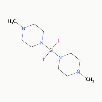 CN1CCN([Si](I)(I)N2CCN(C)CC2)CC1